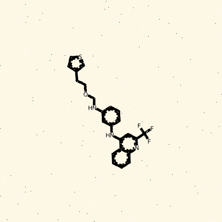 FC(F)(F)c1cc(Nc2cccc(NCOCCc3ccsc3)c2)c2ccccc2n1